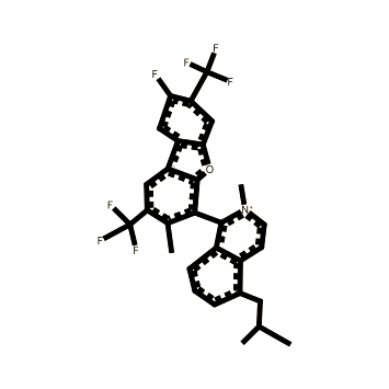 Cc1c(C(F)(F)F)cc2c(oc3cc(C(F)(F)F)c(F)cc32)c1-c1c2cccc(CC(C)C)c2cc[n+]1C